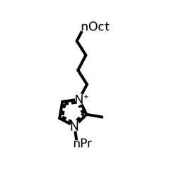 CCCCCCCCCCCC[n+]1ccn(CCC)c1C